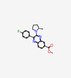 COC(=O)c1ccc2nc(-c3ccc(F)cc3)c(N3CCC[C@H]3C)nc2c1